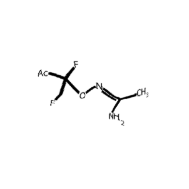 CC(=O)C(F)(F)ON=C(C)N